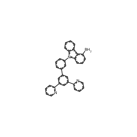 Bc1cccc2c1c1ccccc1n2-c1cccc(-c2cc(-c3ccccn3)cc(-c3ccccn3)c2)c1